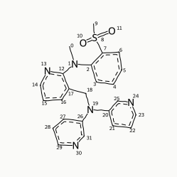 CN(c1ccccc1S(C)(=O)=O)c1ncccc1CN(c1cccnc1)c1cccnc1